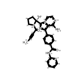 [2H][C@@]1(c2nc(-c3ccc(C(=O)Nc4ccccn4)cc3)c3c(N)nccn23)CCCN1C(=O)C#CC